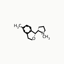 Cc1ccc2c(c1)CCO[C@H]2[C@@H]1CCCN1C